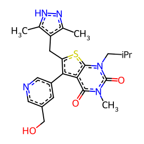 Cc1n[nH]c(C)c1Cc1sc2c(c1-c1cncc(CO)c1)c(=O)n(C)c(=O)n2CC(C)C